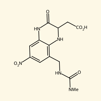 CNC(=O)NCc1cc([N+](=O)[O-])cc2c1NC(CC(=O)O)C(=O)N2